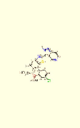 Cc1cc2nc(-c3c4cnccc4nn3C)sc2c(-c2ccc(Cl)cc2)c1C(OC(C)(C)C)C(=O)O